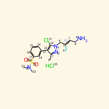 Cc1nn(C/C(F)=C/CN)c(Cl)c1-c1cccc(S(=O)(=O)N(C)C)c1.Cl